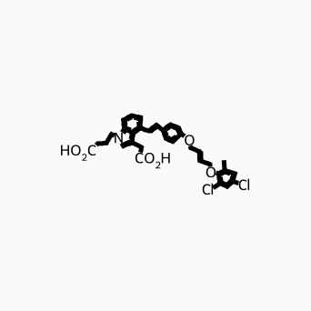 Cc1cc(Cl)cc(Cl)c1OC/C=C/COc1ccc(C=Cc2cccc3c2c(CC(=O)O)cn3CCCC(=O)O)cc1